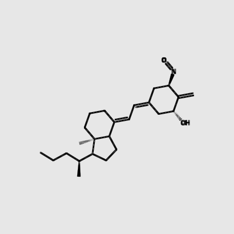 C=C1[C@H](O)C/C(=C\C=C2/CCC[C@@]3(C)C2CCC3[C@@H](C)CCC)C[C@H]1N=O